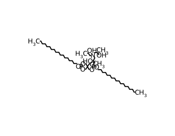 CC(O)CN(CC(C)O)CC(C)O.CCCCCCCCCCCCCCCCCCOP1OCC2(CO1)COP(OCCCCCCCCCCCCCCCCCC)OC2